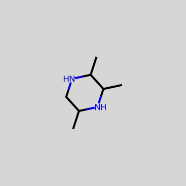 CC1CNC(C)C(C)N1